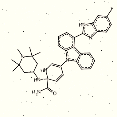 CN1C(C)(C)CC(NC2(C(N)=O)C=CC(n3c4ccccc4c4c(-c5nc6ccc(F)cc6[nH]5)cccc43)=CN2)CC1(C)C